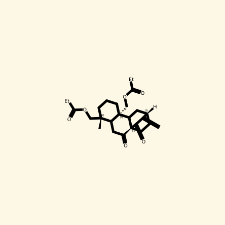 C=C1C(=O)[C@]23CC[C@H]1CC2[C@]1(COC(=O)CC)CCC[C@@](C)(COC(=O)CC)C1CC3=O